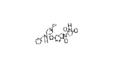 O=C1CCC(N2Cc3cc(OC4CN(C5CC5)CCC4NCc4ccccc4)ccc3C2=O)C(=O)N1